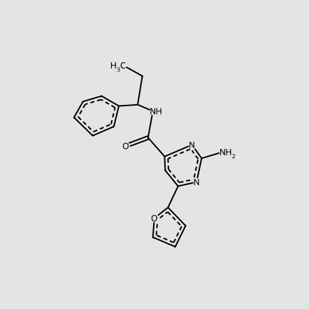 CCC(NC(=O)c1cc(-c2ccco2)nc(N)n1)c1ccccc1